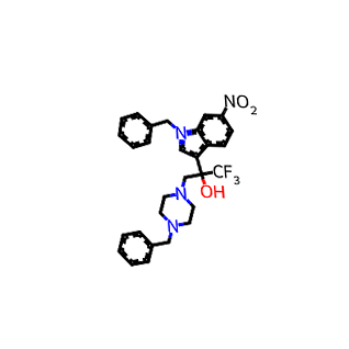 O=[N+]([O-])c1ccc2c(C(O)(CN3CCN(Cc4ccccc4)CC3)C(F)(F)F)cn(Cc3ccccc3)c2c1